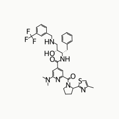 Cc1csc(C2CCCN2C(=O)c2cc(C(=O)N[C@@H](Cc3ccccc3)[C@H](O)CNCc3cccc(C(F)(F)F)c3)cc(N(C)C)n2)n1